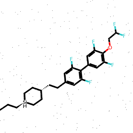 CCC[Si@H]1CC[C@H](CCc2cc(F)c(-c3cc(F)c(OCC(F)F)c(F)c3)c(F)c2)CC1